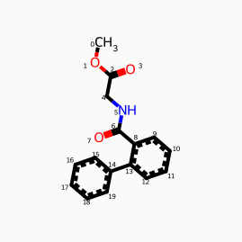 COC(=O)CNC(=O)c1ccccc1-c1ccccc1